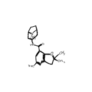 CN1C2CCC1CC(NC(=O)c1cc(O)cc3c1OC(C)(C)C3)C2